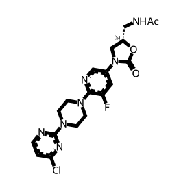 CC(=O)NC[C@H]1CN(c2cnc(N3CCN(c4nccc(Cl)n4)CC3)c(F)c2)C(=O)O1